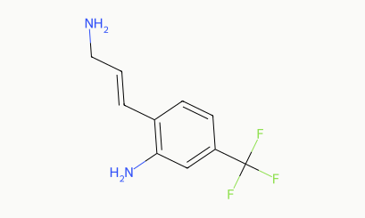 NCC=Cc1ccc(C(F)(F)F)cc1N